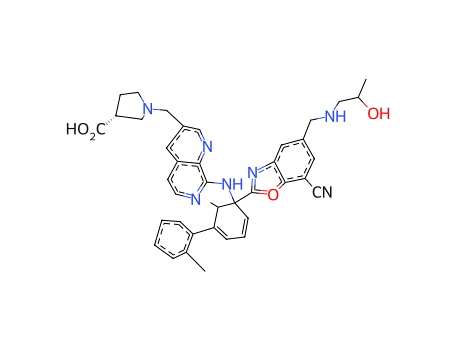 Cc1ccccc1C1=CC=CC(Nc2nccc3cc(CN4CC[C@@H](C(=O)O)C4)cnc23)(c2nc3cc(CNCC(C)O)cc(C#N)c3o2)C1C